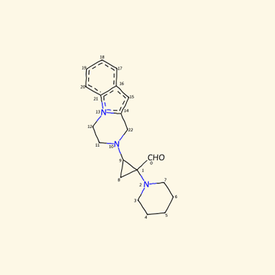 O=CC1(N2CCCCC2)CC1N1CCn2c(cc3ccccc32)C1